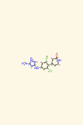 Nc1nc(Nc2cc(Cl)c(-c3cc[nH]c(=O)c3)c(Cl)c2)n[nH]1